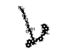 CN1/C(=C/C=C2C=C(/C=C/C3=[N+](CCCCCC(=O)NCCOCCOCCOCCN=[N+]=[N-])c4ccc5ccccc5c4C3(C)C)CCC/2)C(C)(C)c2c1ccc1ccccc21